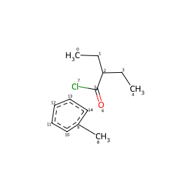 CCC(CC)C(=O)Cl.Cc1ccccc1